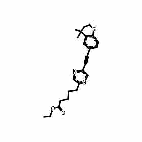 CCOC(=O)CCCCc1cnc(C#Cc2ccc3c(c2)C(C)(C)CCS3)cn1